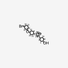 Oc1ccc(-c2nc(-c3ccc(Oc4cccc(Br)c4)cc3)no2)cc1